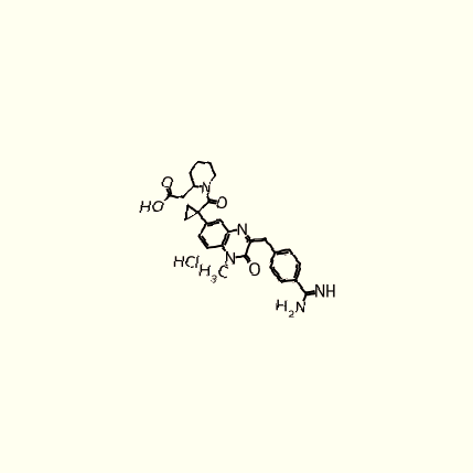 Cl.Cn1c(=O)c(Cc2ccc(C(=N)N)cc2)nc2cc(C3(C(=O)N4CCCCC4CC(=O)O)CC3)ccc21